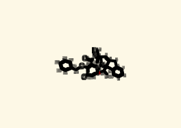 C=C(C)/C=C1/Cc2ccccc2C1(C(C)F)N1CN(CC)C(=O)c2c(OCc3ccccc3)c(=O)ccn21